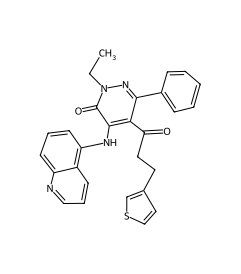 CCn1nc(-c2ccccc2)c(C(=O)CCc2ccsc2)c(Nc2cccc3ncccc23)c1=O